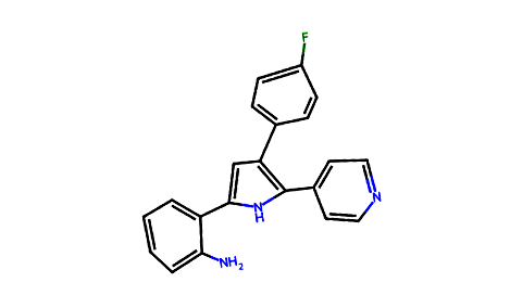 Nc1ccccc1-c1cc(-c2ccc(F)cc2)c(-c2ccncc2)[nH]1